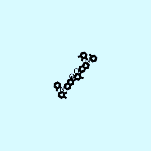 Cc1ccccc1N(c1ccc2cc3c(cc2c1)oc1c3cc(C)c2c3cc4ccc(N(c5ccccc5C)c5cccc(C)c5C)cc4cc3oc12)c1cccc(C)c1C